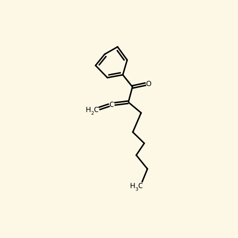 C=C=C(CCCCCC)C(=O)c1ccccc1